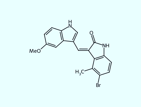 COc1ccc2[nH]cc(C=C3C(=O)Nc4ccc(Br)c(C)c43)c2c1